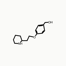 OCc1ccc(OCCC2CCCCN2)cc1